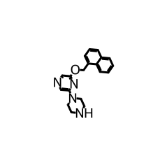 c1ccc2c(COc3cncc(N4CCNCC4)n3)cccc2c1